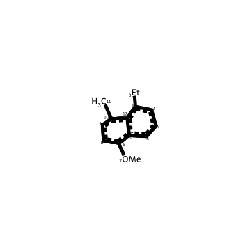 CCc1cccc2c(OC)ccc(C)c12